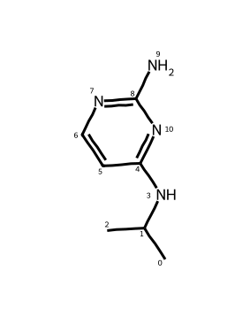 CC(C)Nc1ccnc(N)n1